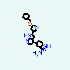 Nc1n[nH]c2ccc(-c3ccnc4[nH]c(-c5cncc(OCc6ccccc6)c5)cc34)cc12